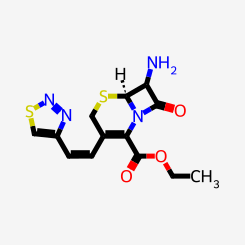 CCOC(=O)C1=C(/C=C\c2csnn2)CS[C@H]2C(N)C(=O)N12